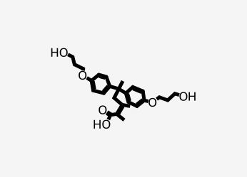 CC(CC(C)(c1ccc(OCCCO)cc1)c1ccc(OCCCO)cc1)=C(C)C(=O)O